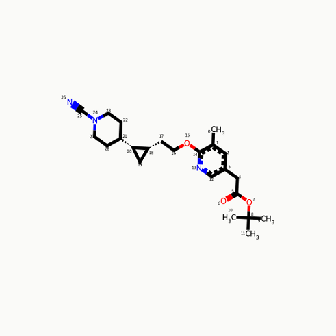 Cc1cc(CC(=O)OC(C)(C)C)cnc1OCC[C@@H]1C[C@@H]1C1CCN(C#N)CC1